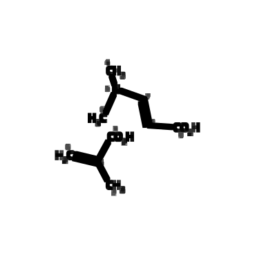 C=C(C)C(=O)O.CN(C)C=CC(=O)O